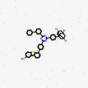 N#Cc1ccc2sc3c(-c4ccc(-c5nc(-c6ccc(C78C[C@H]9C[C@H](C7)C[C@@H](C8)C9)cc6)nc(-c6cccc(-c7ccccc7)c6)n5)cc4)cccc3c2c1